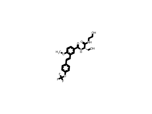 COc1ccc(C(=O)N[C@@H](CO)C(=O)NCCO)cc1/C=C/c1ccc(OC(F)(F)F)cc1